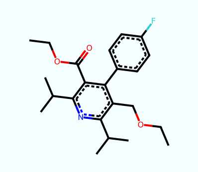 CCOCc1c(C(C)C)nc(C(C)C)c(C(=O)OCC)c1-c1ccc(F)cc1